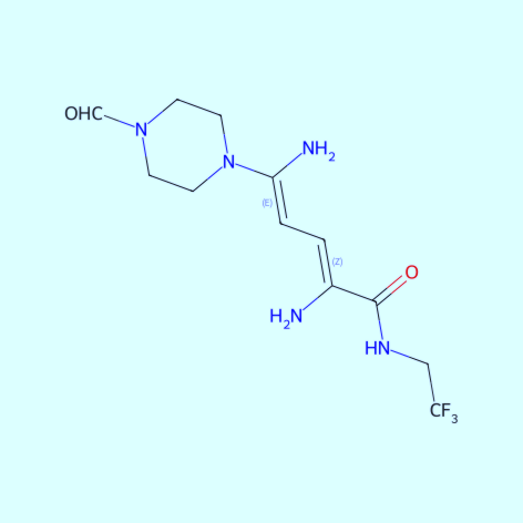 N/C(=C\C=C(/N)N1CCN(C=O)CC1)C(=O)NCC(F)(F)F